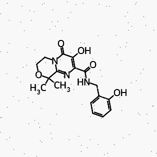 CC1(C)OCCn2c1nc(C(=O)NCc1ccccc1O)c(O)c2=O